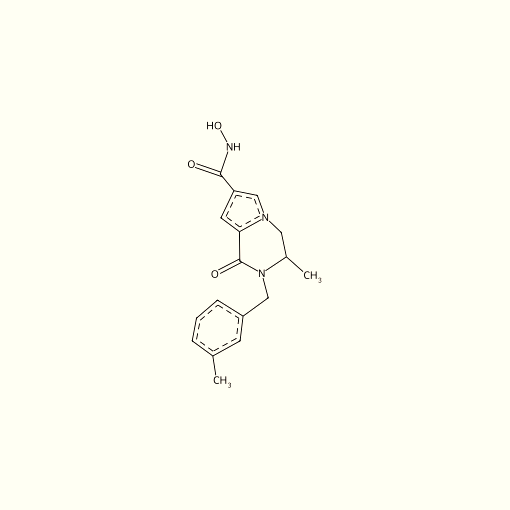 Cc1cccc(CN2C(=O)c3cc(C(=O)NO)cn3CC2C)c1